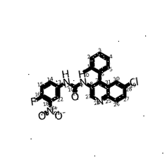 Cc1ccccc1-c1c(NC(=O)Nc2ccc(F)c([N+](=O)[O-])c2)cnc2ccc(Cl)cc12